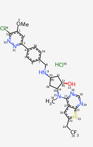 COc1cc(-c2ccc(CN[C@H]3C[C@@H](O)[C@@H](N(C)c4ncnc5sc(CC(F)(F)F)cc45)C3)cc2)nnc1Cl.Cl